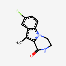 Cc1c2n(c3ccc(F)cc13)CCNC2=O